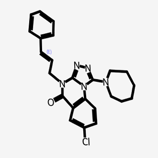 O=c1c2cc(Cl)ccc2n2c(N3CCCCCC3)nnc2n1C/C=C/c1ccccc1